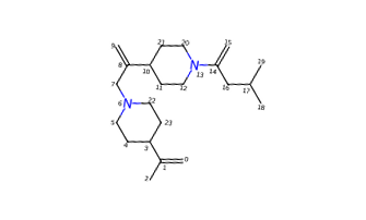 C=C(C)C1CCN(CC(=C)C2CCN(C(=C)CC(C)C)CC2)CC1